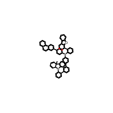 CC12C=CC=CC1N(c1ccccc1-c1cccc(-c3ccc(N(c4ccc(-c5ccc6c(ccc7ccccc76)c5)cc4)c4ccccc4-c4cccc5c4oc4ccccc45)cc3)c1)c1ccccc12